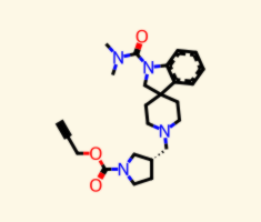 C#CCOC(=O)N1CC[C@@H](CN2CCC3(CC2)CN(C(=O)N(C)C)c2ccccc23)C1